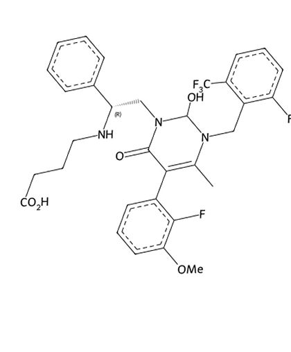 COc1cccc(C2=C(C)N(Cc3c(F)cccc3C(F)(F)F)C(O)N(C[C@H](NCCCC(=O)O)c3ccccc3)C2=O)c1F